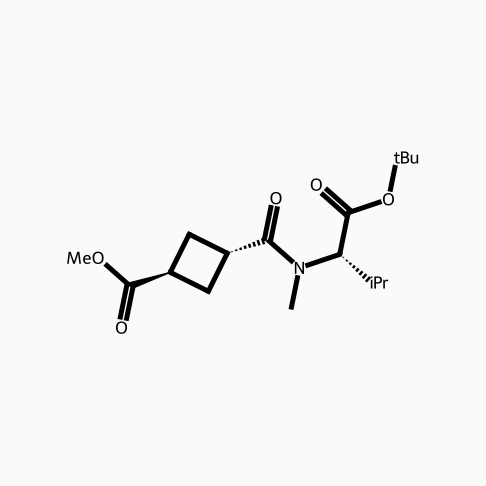 COC(=O)[C@H]1C[C@H](C(=O)N(C)[C@H](C(=O)OC(C)(C)C)C(C)C)C1